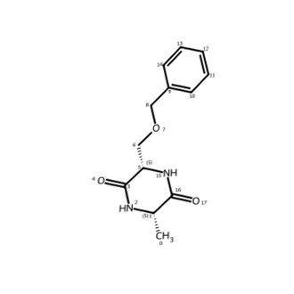 C[C@@H]1NC(=O)[C@H](COCc2ccccc2)NC1=O